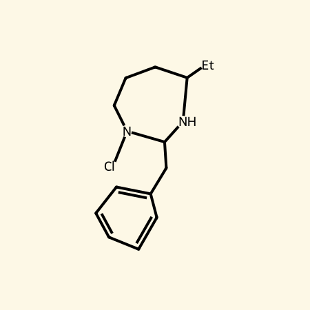 CCC1CCCN(Cl)C(Cc2ccccc2)N1